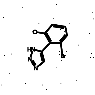 [O]c1cccc(Br)c1-c1cnn[nH]1